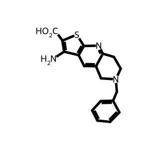 Nc1c(C(=O)O)sc2nc3c(cc12)CN(Cc1ccccc1)CC3